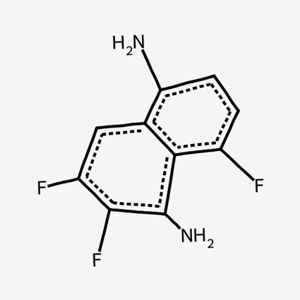 Nc1ccc(F)c2c(N)c(F)c(F)cc12